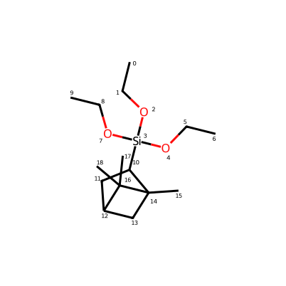 CCO[Si](OCC)(OCC)C1CC2CC1(C)C2(C)C